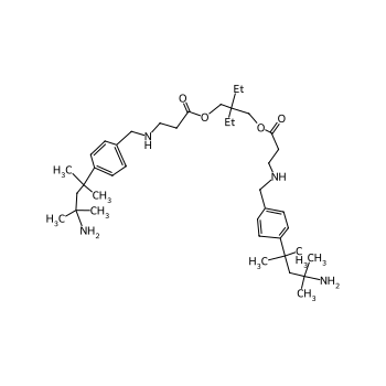 CCC(CC)(COC(=O)CCNCc1ccc(C(C)(C)CC(C)(C)N)cc1)COC(=O)CCNCc1ccc(C(C)(C)CC(C)(C)N)cc1